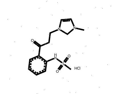 CN1C=CN(CCC(=O)c2ccccc2NS(C)(=O)=O)C1.Cl